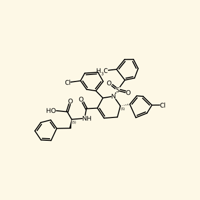 Cc1ccccc1S(=O)(=O)N1C(c2cccc(Cl)c2)C(C(=O)N[C@@H](Cc2ccccc2)C(=O)O)=CC[C@H]1c1ccc(Cl)cc1